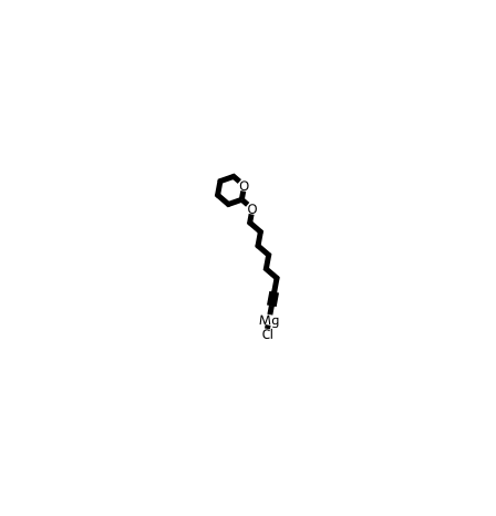 [Cl][Mg][C]#CCCCCCCOC1CCCCO1